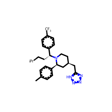 Cc1ccc([C@@H]2C[C@H](Cc3nnn[nH]3)CCN2[C@H](CCC(C)C)c2ccc(C(F)(F)F)cc2)cc1